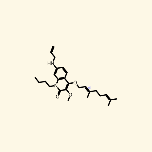 C=CCNc1ccc2c(OC/C=C(\C)CCC=C(C)C)c(OC)c(=O)n(CCCC)c2c1